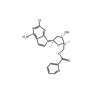 C[C@]1(COC(=O)c2ccccn2)O[C@@H](n2ccc3c(N)nc(Cl)nc32)C[C@@H]1O